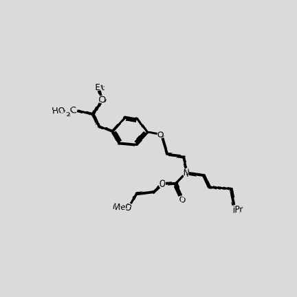 CCOC(Cc1ccc(OCCN(CCCC(C)C)C(=O)OCCOC)cc1)C(=O)O